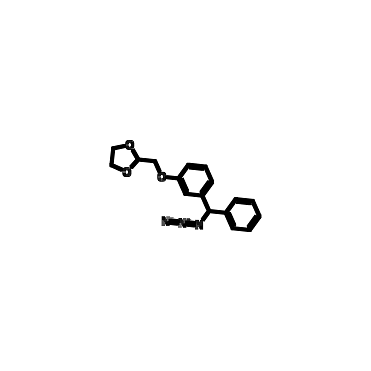 [N-]=[N+]=NC(c1ccccc1)c1cccc(OCC2OCCO2)c1